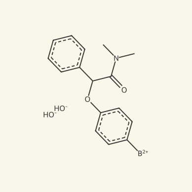 [B+2]c1ccc(OC(C(=O)N(C)C)c2ccccc2)cc1.[OH-].[OH-]